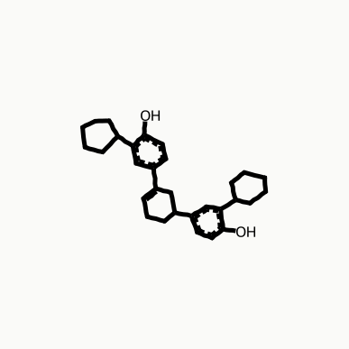 Oc1ccc(C2=CCCC(c3ccc(O)c(C4CCCCC4)c3)C2)cc1C1CCCCC1